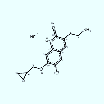 Cl.NCCc1cc2cc(Cl)c(OCC3CC3)cc2[nH]c1=O